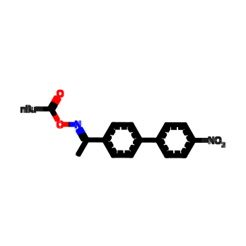 CCCCC(=O)O/N=C(\C)c1ccc(-c2ccc([N+](=O)[O-])cc2)cc1